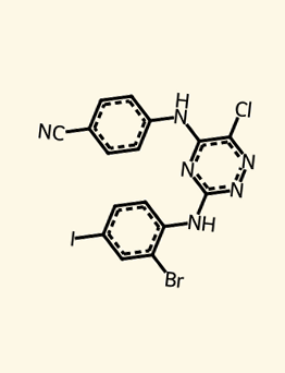 N#Cc1ccc(Nc2nc(Nc3ccc(I)cc3Br)nnc2Cl)cc1